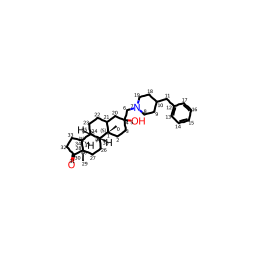 C[C@]12CCC(O)(CN3CCC(Cc4ccccc4)CC3)CC1CC[C@@H]1[C@H]2CC[C@]2(C)C(=O)CC[C@@H]12